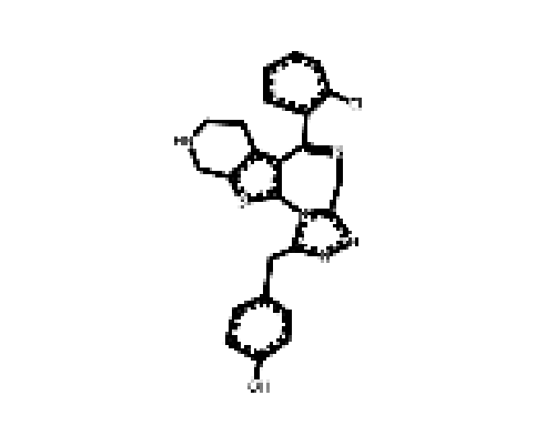 Oc1ccc(Cc2nnc3n2-c2sc4c(c2C(c2ccccc2Cl)=NC3)CCNC4)cc1